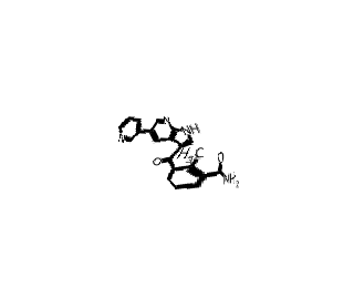 Cc1c(C(N)=O)cccc1C(=O)c1c[nH]c2ncc(-c3cccnc3)cc12